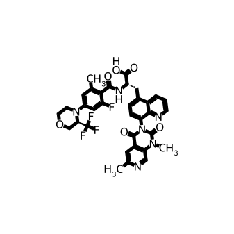 Cc1cc2c(=O)n(-c3ccc(C[C@H](NC(=O)c4c(C)cc(N5CCOC[C@@H]5C(F)(F)F)cc4F)C(=O)O)c4cccnc34)c(=O)n(C)c2cn1